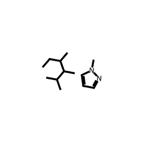 CCC(C)C(C)C(C)C.Cn1cccn1